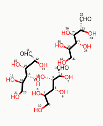 O=C[C@H](O)[C@@H](O)[C@H](O)[C@H](O)CO.O=C[C@H](O)[C@@H](O)[C@H](O)[C@H](O)CO.O=C[C@H](O)[C@@H](O)[C@H](O)[C@H](O)CO